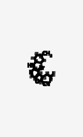 CN1CCC(Nc2ncc3oc(C#N)c(CC(F)F)c3c2Br)CC1